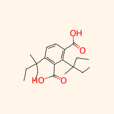 CCC(C)(CC)c1ccc(C(=O)O)c(C(C)(CC)CC)c1C(=O)O